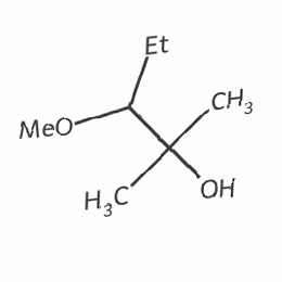 CCC(OC)C(C)(C)O